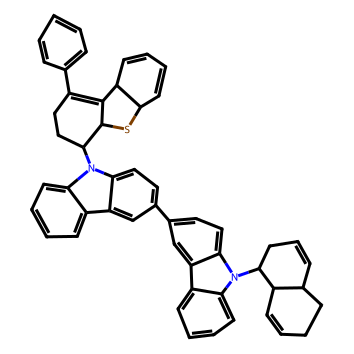 C1=CC2SC3C(=C(c4ccccc4)CCC3n3c4ccccc4c4cc(-c5ccc6c(c5)c5ccccc5n6C5CC=CC6CCC=CC65)ccc43)C2C=C1